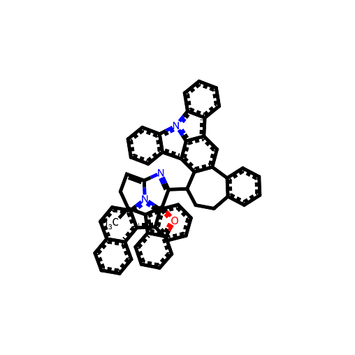 CC1C/C=C(n2c3ccccc3c3c4ccccc4ccc32)/N=C(/C2CCc3ccccc3-c3cc4c5ccccc5n5c6ccccc6c(c32)c45)c2oc3ccccc3c21